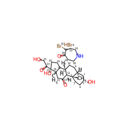 Br.C[C@]12CC[C@@H](O)C[C@H]1CC[C@@H]1[C@@H]2C(=O)C[C@@]2(C)[C@H]1CC[C@]2(O)C(=O)CO.O=C1CCNCCC1Br